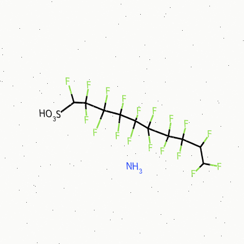 N.O=S(=O)(O)C(F)C(F)(F)C(F)(F)C(F)(F)C(F)(F)C(F)(F)C(F)(F)C(F)(F)C(F)C(F)F